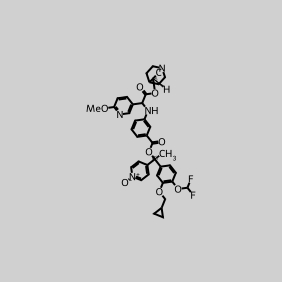 COc1ccc(C(Nc2cccc(C(=O)O[C@@](C)(c3cc[n+]([O-])cc3)c3ccc(OC(F)F)c(OCC4CC4)c3)c2)C(=O)O[C@H]2CN3CCC2CC3)cn1